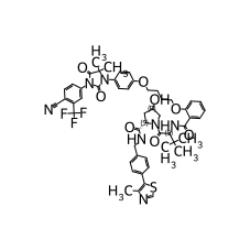 Cc1ncsc1-c1ccc(CNC(=O)[C@@H]2C[C@@H](O)CN2C(=O)[C@@H](NC(=O)c2ccccc2OCCCCOc2ccc(N3C(=O)N(c4ccc(C#N)c(C(F)(F)F)c4)C(=O)C3(C)C)cc2)C(C)(C)C)cc1